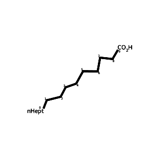 [13CH3]CCCCCCCCCCCCCCC(=O)O